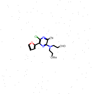 COCCN(CCC=O)c1nc(-c2ccco2)c(Cl)nc1C#N